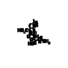 Cc1snnc1/C=C\C1=C(C(=O)O)N2C(=O)C(NC(=O)/C(=N\O)c3csc(N)n3)[C@@H]2SC1